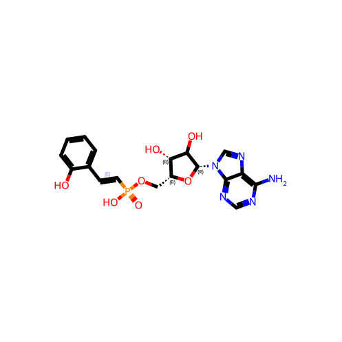 Nc1ncnc2c1ncn2[C@@H]1O[C@H](COP(=O)(O)/C=C/c2ccccc2O)[C@H](O)C1O